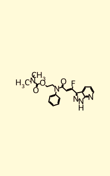 CN(C)C(=O)OCCN(C(=O)/C=C(\F)c1n[nH]c2ncccc12)c1ccccc1